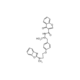 CN(CCOc1ccc(C[C@H](NC(=O)c2coc3ccccc3c2=O)C(=O)O)cc1)c1nc2ccccc2o1